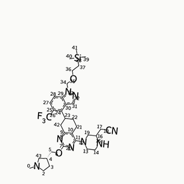 CN1CC[C@@H](COc2nc3c(c(N4CCNC(CC#N)C4)n2)CCC(c2c(C(F)(F)F)ccc4c2cnn4COCC[Si](C)(C)C)C3)C1